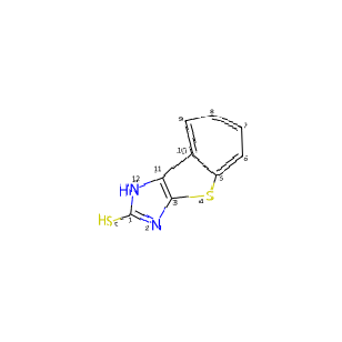 Sc1nc2sc3ccccc3c2[nH]1